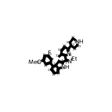 CC/N=C(/c1cc2c(-c3cc(F)cc(OC)c3)cccc2[nH]1)c1nc(C2CCNCC2)ccc1C